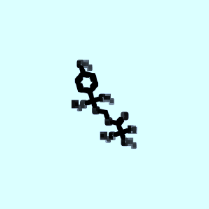 CCC(C)(C)C(=O)OCOC(C)(C)c1ccc(C)cc1